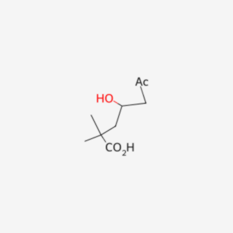 CC(=O)CC(O)CC(C)(C)C(=O)O